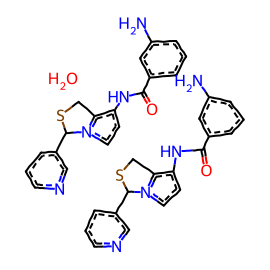 Nc1cccc(C(=O)Nc2ccn3c2CSC3c2cccnc2)c1.Nc1cccc(C(=O)Nc2ccn3c2CSC3c2cccnc2)c1.O